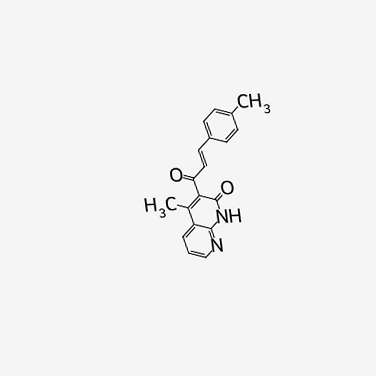 Cc1ccc(C=CC(=O)c2c(C)c3cccnc3[nH]c2=O)cc1